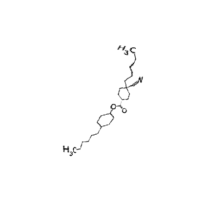 CCCCCCC1CCC(OC(=O)[C@H]2CC[C@@](C#N)(CCCCC)CC2)CC1